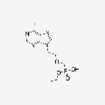 CCOP(=O)(O)COCCn1cnc2c(C)ncnc21